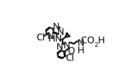 O=C(O)NCCCn1c(C(Nc2ncnc3ccc(Cl)nc23)C2CC2)nc2cccc(Cl)c2c1=O